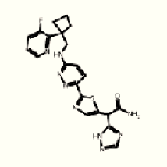 NC(=O)C(c1ncn[nH]1)c1cnc(-c2ccc(NCC3(c4ncccc4F)CCC3)nn2)s1